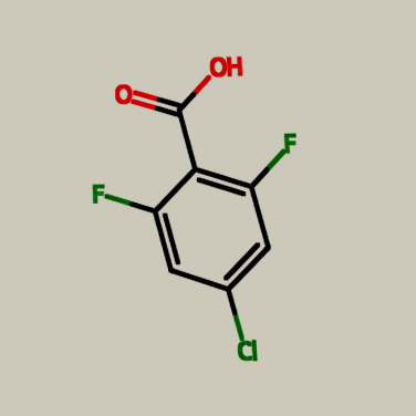 O=C(O)c1c(F)cc(Cl)cc1F